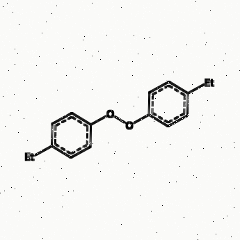 CCc1ccc(OOc2ccc(CC)cc2)cc1